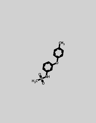 Cc1ccc(Oc2cccc(NS(C)(=O)=O)c2)cc1